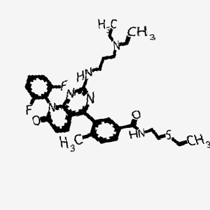 CCSCCNC(=O)c1ccc(C)c(-c2nc(NCCCN(CC)CC)nc3c2ccc(=O)n3-c2c(F)cccc2F)c1